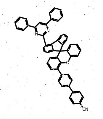 N#Cc1ccc(-c2ccc(-c3cccc4c3Oc3ccccc3C43c4ccccc4-c4c(-c5nc(-c6ccccc6)cc(-c6ccccc6)n5)cccc43)cc2)cc1